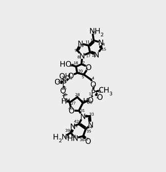 CP1(=O)OCC2OC(n3cnc4c(N)ncnc43)C(O)C2OP(=O)(O)OC[C@@H]2C[C@H](O1)C(n1cnc3c(=O)[nH]c(N)nc31)O2